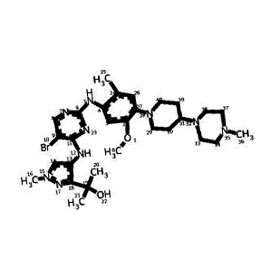 COc1cc(Nc2ncc(Br)c(Nc3cn(C)nc3C(C)(C)O)n2)c(C)cc1N1CCC(N2CCN(C)CC2)CC1